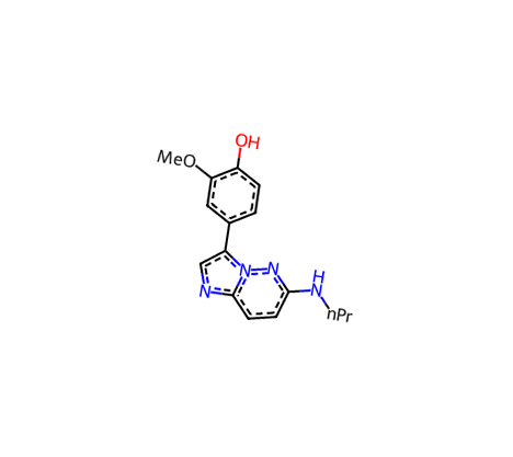 CCCNc1ccc2ncc(-c3ccc(O)c(OC)c3)n2n1